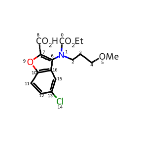 CCOC(=O)N(CCCOC)c1c(C(=O)O)oc2ccc(Cl)cc12